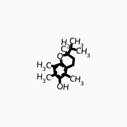 Cc1c(C)c2c(c(C)c1O)CCC(C)(C(C)C)O2